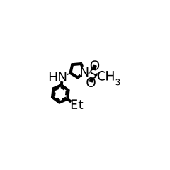 CCc1cccc(N[C@@H]2CCN(S(C)(=O)=O)C2)c1